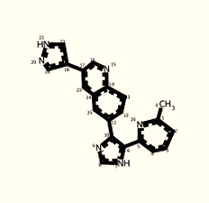 Cc1cccc(-c2[nH]cnc2-c2ccc3ncc(-c4cn[nH]c4)cc3c2)n1